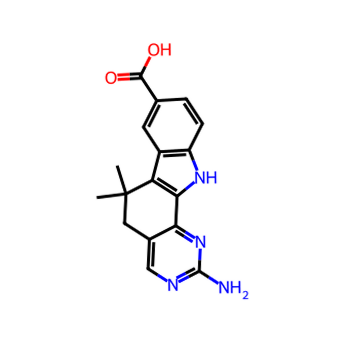 CC1(C)Cc2cnc(N)nc2-c2[nH]c3ccc(C(=O)O)cc3c21